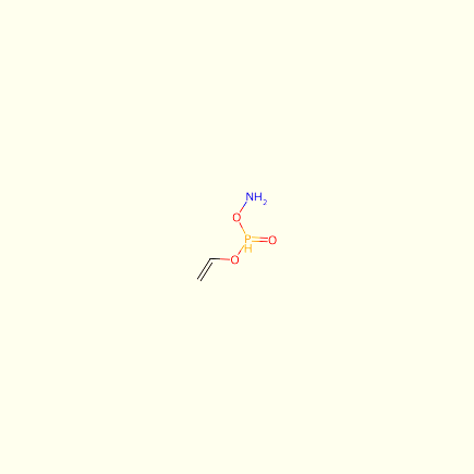 C=CO[PH](=O)ON